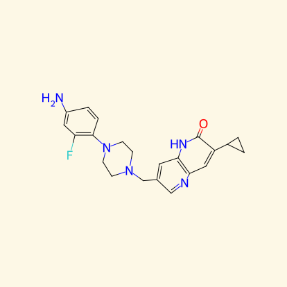 Nc1ccc(N2CCN(Cc3cnc4cc(C5CC5)c(=O)[nH]c4c3)CC2)c(F)c1